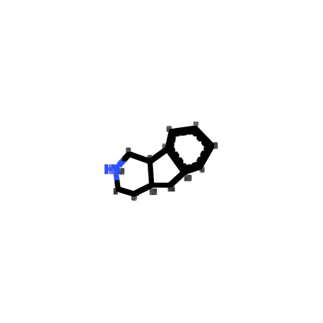 [CH]1CNCC2c3ccccc3CC12